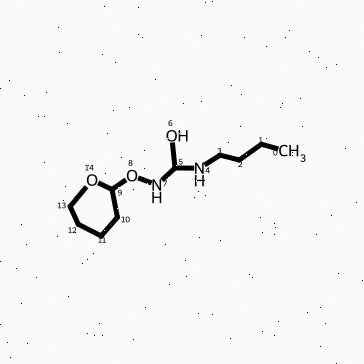 CCCCNC(O)NOC1CCCCO1